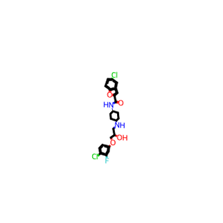 O=C(N[C@H]1CC[C@H](NCC(O)COc2ccc(Cl)c(F)c2)CC1)c1cc2cc(Cl)ccc2o1